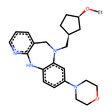 CCO[C@@H]1CC[C@H](CN2Cc3cccnc3Nc3ccc(N4CCOCC4)cc32)C1